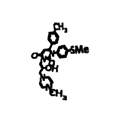 CSc1ccc(-n2c(-c3ccc(C)cc3)cc(=O)n(CC(O)CN3CCN(C)CC3)c2=O)cc1